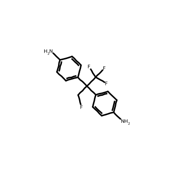 Nc1ccc(C(CF)(c2ccc(N)cc2)C(F)(F)F)cc1